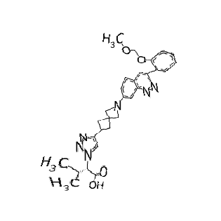 COCOc1ccccc1-c1cc2ccc(N3CC4(CC(c5cn([C@H](C(=O)O)C(C)C)nn5)C4)C3)cc2nn1